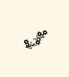 O=C(c1ccccc1)c1ccccc1NC(Cc1ccc(OCCNC(=O)C2(Cc3ccccc3)CCC2)cc1)C(=O)O